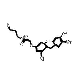 CC(C)c1cc(Cc2c(Cl)cc(OCC(=O)NCCCF)cc2Cl)ccc1O